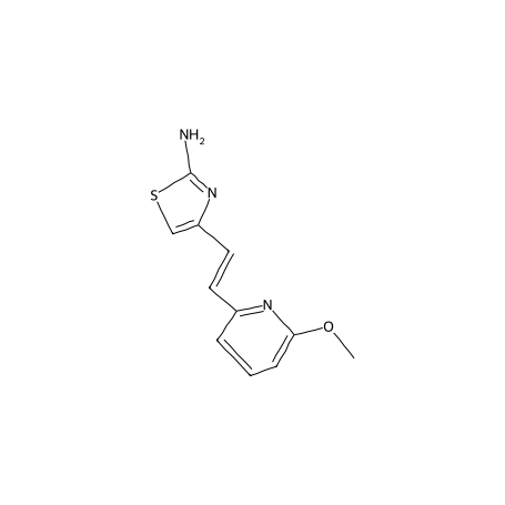 COc1cccc(C=Cc2csc(N)n2)n1